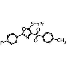 CCCSc1oc(-c2ccc(F)cc2)nc1S(=O)(=O)c1ccc(C)cc1